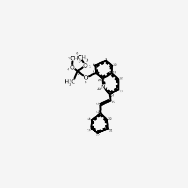 COC(C)(OC)Oc1cccc2ccc(C=Cc3ccccc3)nc12